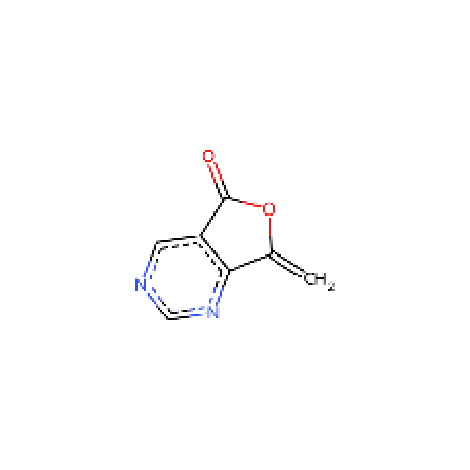 C=C1OC(=O)c2cncnc21